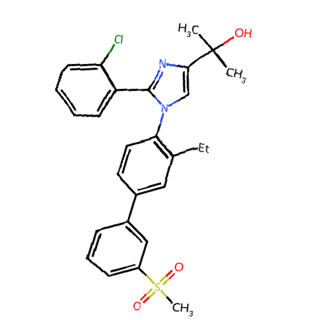 CCc1cc(-c2cccc(S(C)(=O)=O)c2)ccc1-n1cc(C(C)(C)O)nc1-c1ccccc1Cl